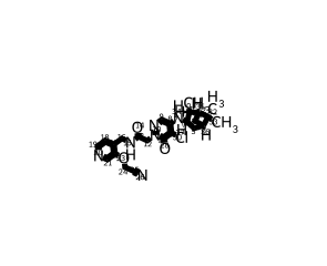 C[C@@H]1[C@H]2C[C@@H](C[C@H]1Nc1cnn(CC(=O)NCc3ccncc3OCC#N)c(=O)c1Cl)C2(C)C